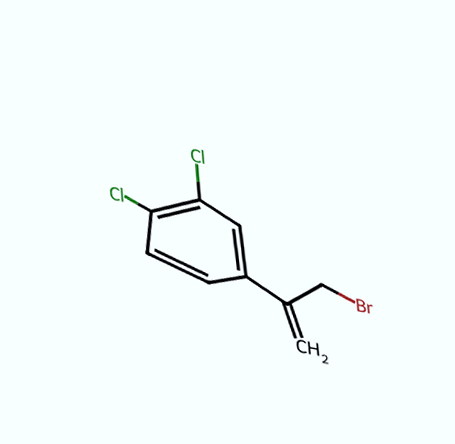 C=C(CBr)c1ccc(Cl)c(Cl)c1